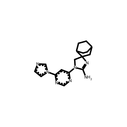 NC1=NC2(CC3CCC2CC3)CN1c1cc(-n2ccnc2)ncn1